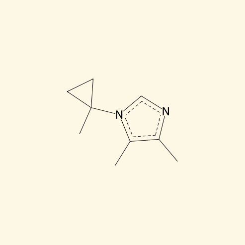 Cc1ncn(C2(C)CC2)c1C